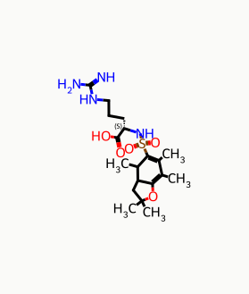 CC1=C2OC(C)(C)CC2C(C)C(S(=O)(=O)N[C@@H](CCCNC(=N)N)C(=O)O)=C1C